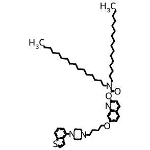 CCCCCCCCCCCCCCCCN(CCCCCCCCCCCCCCCC)C(=O)Oc1ccc2ccc(OCCCCN3CCN(c4cccc5sccc45)CC3)cc2n1